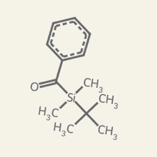 CC(C)(C)[Si](C)(C)C(=O)c1ccccc1